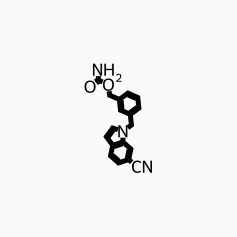 N#Cc1ccc2ccn(Cc3cccc(COC(N)=O)c3)c2c1